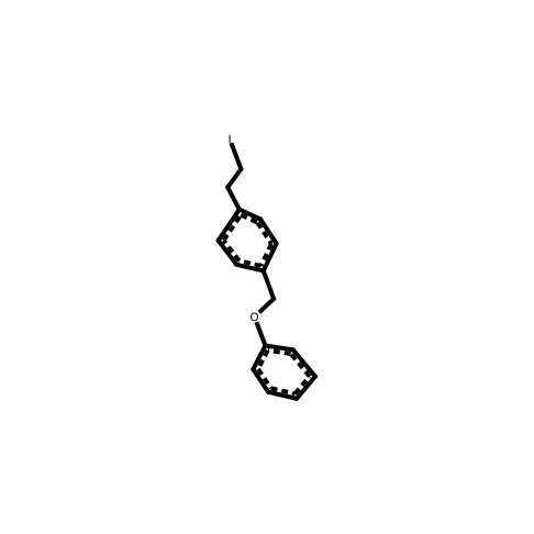 ICCc1ccc(COc2ccccc2)cc1